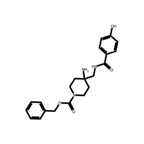 NC1(CNC(=O)c2ccc(O)cc2)CCN(C(=O)OCc2ccccc2)CC1